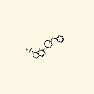 CN1CCc2cnc(N3CCN(Cc4ccccc4)CC3)nc21